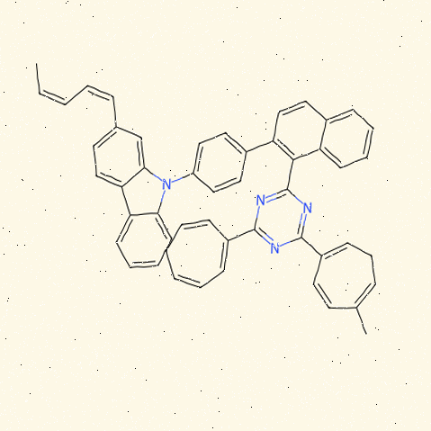 C/C=C\C=C/c1ccc2c3ccccc3n(-c3ccc(-c4ccc5ccccc5c4-c4nc(C5=CC=CCC=C5)nc(C5=CCC=C(C)C=C5)n4)cc3)c2c1